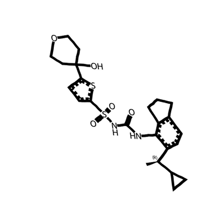 C[C@@H](c1ccc2c(c1NC(=O)NS(=O)(=O)c1ccc(C3(O)CCOCC3)s1)CCC2)C1CC1